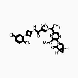 COc1nc(C(C)n2cc(C(=O)N[C@H]3C[C@@H](c4cc(Cl)ccc4C#N)C3)nn2)cnc1N1C[C@H]2C[C@H]2C1=O